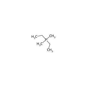 CC[P](C)(C)CC